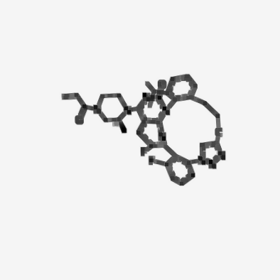 C=CC(=O)N1CCN(c2nc(=O)n3c4nc(c(F)cc24)-c2c(F)cccc2-n2cc(nn2)CCCc2cccc(C(C)C)c2-3)[C@@H](C)C1